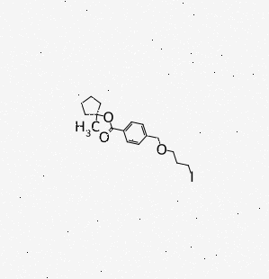 CC1(OC(=O)c2ccc(COCCCI)cc2)CCCC1